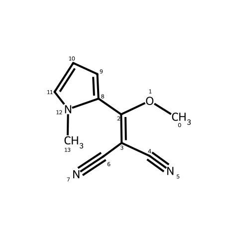 COC(=C(C#N)C#N)c1cccn1C